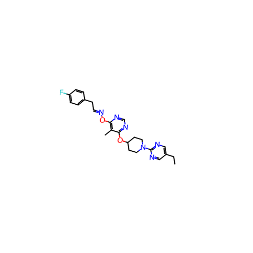 CCc1cnc(N2CCC(Oc3ncnc(ON=CCc4ccc(F)cc4)c3C)CC2)nc1